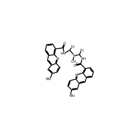 CCC(NC(=O)c1cccc2cc3cc(C(C)(C)C)ccc3nc12)N(C)C(CC)NC(=O)c1cccc2cc3cc(C(C)(C)C)ccc3nc12